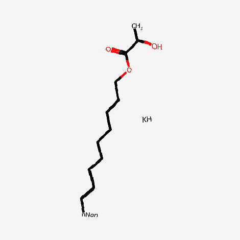 CCCCCCCCCCCCCCCCCCOC(=O)C(C)O.[KH]